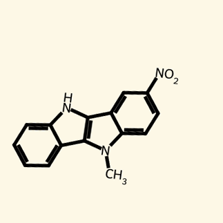 Cn1c2ccc([N+](=O)[O-])cc2c2[nH]c3ccccc3c21